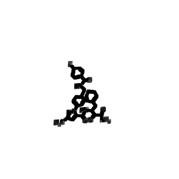 Cc1cc(C(=O)NC(Cc2ccccc2)C(=O)C(N)=O)n(-c2ccc(CNC(=O)c3ccc(F)cc3)cc2)n1